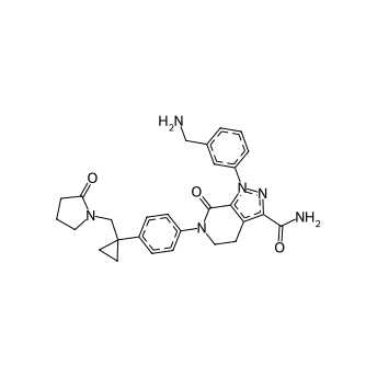 NCc1cccc(-n2nc(C(N)=O)c3c2C(=O)N(c2ccc(C4(CN5CCCC5=O)CC4)cc2)CC3)c1